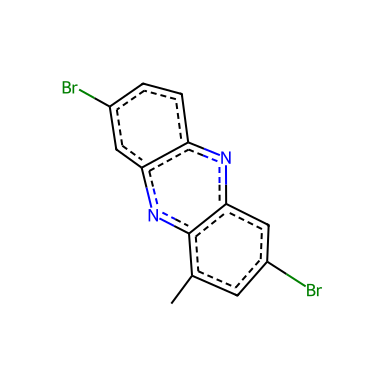 Cc1cc(Br)cc2nc3ccc(Br)cc3nc12